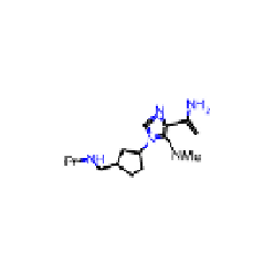 C=C(N)c1ncn(C2CCC(CNC(C)C)C2)c1NC